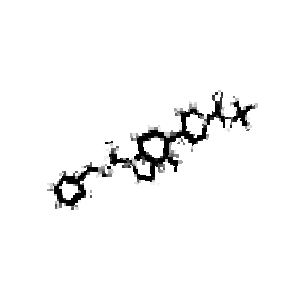 CC(C)(C)OC(=O)N1CC=C(c2ccc3c(c2F)CCN3C(=O)OCc2ccccc2)CC1